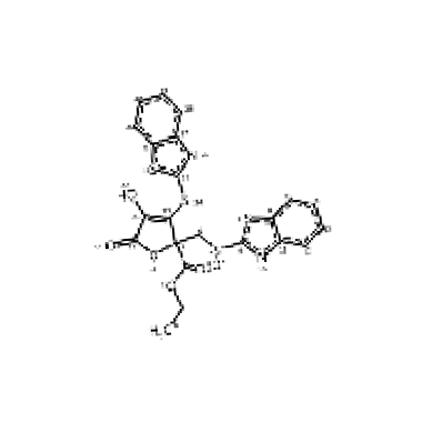 CCOC(=O)C1(C[S+]([O-])c2nc3ccccc3s2)OC(=O)C(O)=C1Sc1nc2ccccc2s1